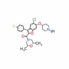 CC1CN(C(=O)c2oc3cc(OC4CCN(C(C)C)CC4)c(Cl)cc3c2-c2ccc(F)cc2)CC(C)O1